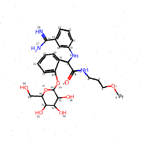 CC(C)OCCCNC(=O)C(Nc1cccc(C(=N)N)c1)c1ccccc1OC1OC(CO)C(O)C(O)C1O